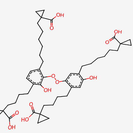 O=C(O)C1(CCCCCCc2cc(OOc3c(CCCCCCC4(C(=O)O)CC4)ccc(CCCCC4(C(=O)O)CC4)c3O)c(CCCCC3(C(=O)O)CC3)cc2O)CC1